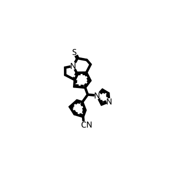 N#Cc1cccc(C(c2cc3c4c(c2)CCN4C(=S)CC3)n2ccnc2)c1